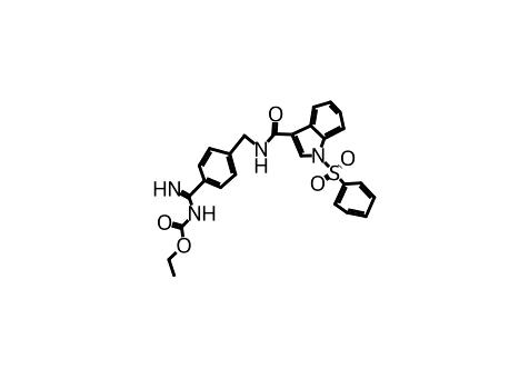 CCOC(=O)NC(=N)c1ccc(CNC(=O)c2cn(S(=O)(=O)c3ccccc3)c3ccccc23)cc1